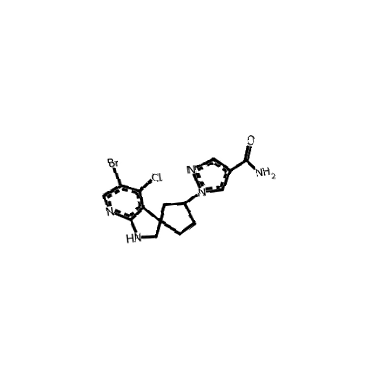 NC(=O)c1cnn(C2CCC3(CNc4ncc(Br)c(Cl)c43)C2)c1